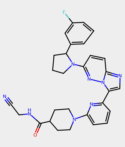 N#CCNC(=O)C1CCN(c2cccc(-c3cnc4ccc(N5CCCC5c5cccc(F)c5)nn34)n2)CC1